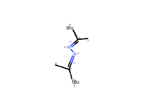 C/C(=N\N=C(/C)C(C)(C)C)C(C)(C)C